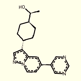 C[C@H](O)[C@H]1CC[C@H](c2cnn3ccc(-c4cncnc4)cc23)CC1